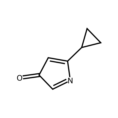 O=C1C=NC(C2CC2)=C1